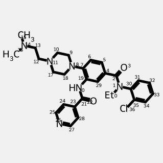 CCN(C(=O)c1ccc(N2CCN(CCN(C)C)CC2)c(NC(=O)c2ccncc2)c1)c1ccccc1Cl